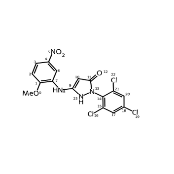 COc1ccc([N+](=O)[O-])cc1Nc1cc(=O)n(-c2c(Cl)cc(Cl)cc2Cl)[nH]1